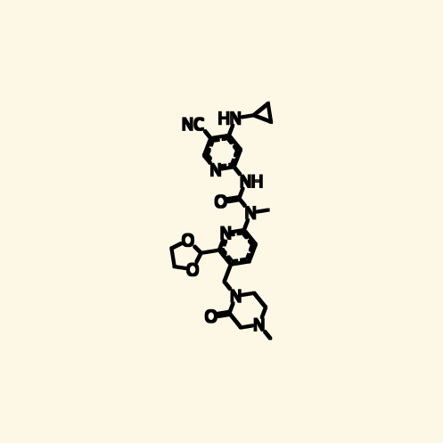 CN1CCN(Cc2ccc(N(C)C(=O)Nc3cc(NC4CC4)c(C#N)cn3)nc2C2OCCO2)C(=O)C1